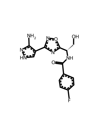 Nc1n[nH]cc1-c1noc([C@H](CO)NC(=O)c2ccc(F)cc2)n1